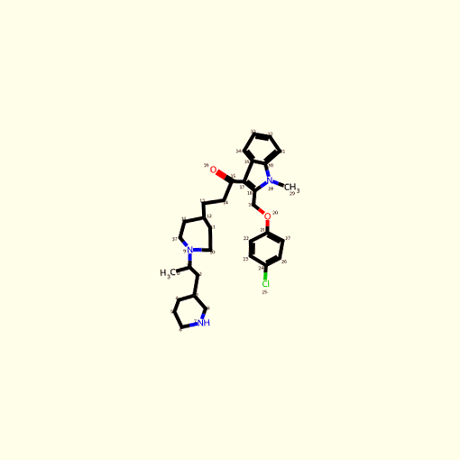 CC(CC1CCCNC1)N1CCC(CCC(=O)c2c(COc3ccc(Cl)cc3)n(C)c3ccccc23)CC1